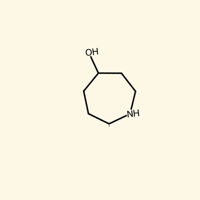 OC1CC[CH]NCC1